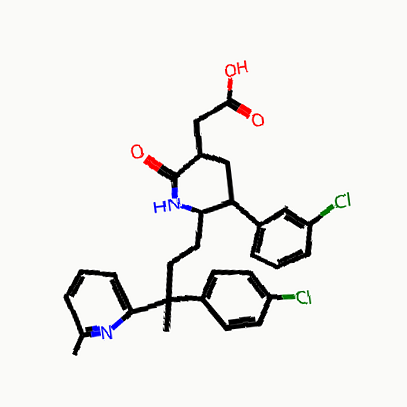 Cc1cccc(C(C)(CCC2NC(=O)C(CC(=O)O)CC2c2cccc(Cl)c2)c2ccc(Cl)cc2)n1